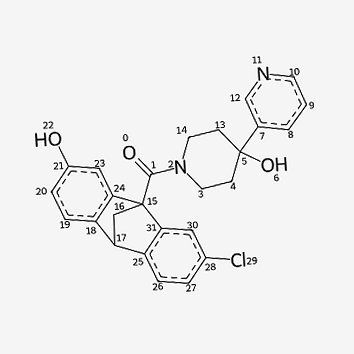 O=C(N1CCC(O)(c2cccnc2)CC1)C12CC(c3ccc(O)cc31)c1ccc(Cl)cc12